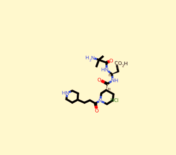 CC(C)(N)C(=O)N[C@@H](CC(=O)O)NC(=O)[C@@H]1CCCN(C(=O)CCC2CCNCC2)C1.Cl